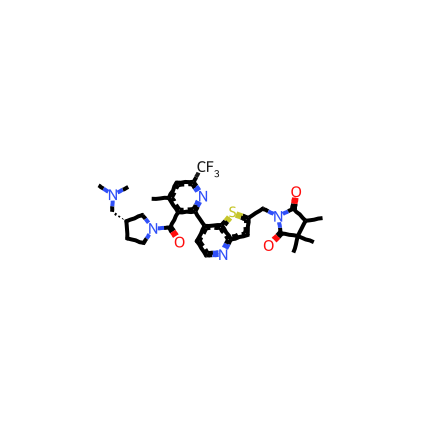 Cc1cc(C(F)(F)F)nc(-c2ccnc3cc(CN4C(=O)C(C)C(C)(C)C4=O)sc23)c1C(=O)N1CC[C@H](CN(C)C)C1